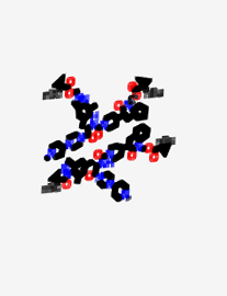 CCCCC1(C(=O)OCn2c(=O)c(C3CCN(C(=O)N[C@H](Cc4cc(C)c5c(cnn5C(=O)C5(CCCC)CC5)c4)C(=O)N4CCN(C5CCN(C)CC5)CC4)CC3)cc3ccccc32)CC1.CCCCC1(C(=O)OCn2cc3cc(C[C@@H](NC(=O)N4CCC(c5cc6ccccc6n(COC(=O)C6(CCCC)CC6)c5=O)CC4)C(=O)N4CCN(C5CCN(C)CC5)CC4)cc(C)c3n2)CC1